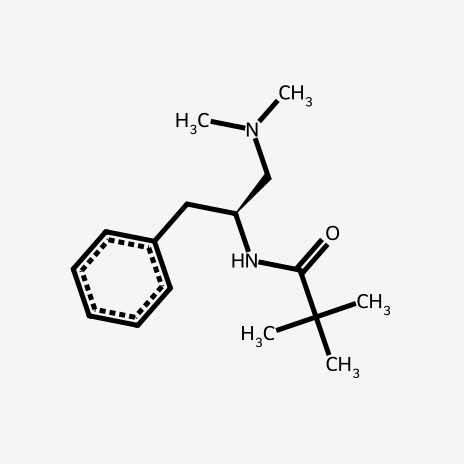 CN(C)C[C@H](Cc1ccccc1)NC(=O)C(C)(C)C